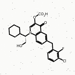 O=C(O)Oc1cn([C@H](CO)C2CCCCC2)c2ccc(Cc3cccc(Cl)c3F)cc2c1=O